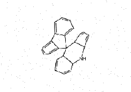 C1=CC2NC3C=CC=CC3C3(c4ccccc4-c4ccccc43)C2C=C1